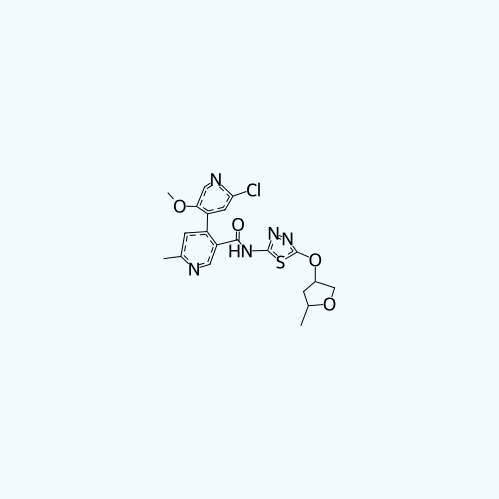 COc1cnc(Cl)cc1-c1cc(C)ncc1C(=O)Nc1nnc(OC2COC(C)C2)s1